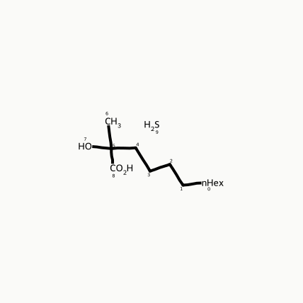 CCCCCCCCCCC(C)(O)C(=O)O.S